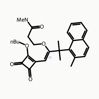 CCCCOc1c(/C=C(\OCCC(=O)NC)C(C)(C)c2c(C)ccc3ccccc23)c(=O)c1=O